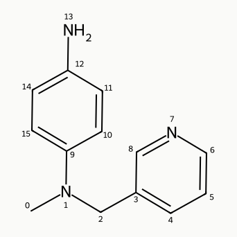 CN(Cc1cccnc1)c1ccc(N)cc1